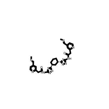 C/N=C/c1ccnc(CC(=O)Nc2nnc([C@H]3CCC[C@H](c4nnc(NC(=O)Cc5cc(/C=N/C)ccn5)s4)C3)s2)c1